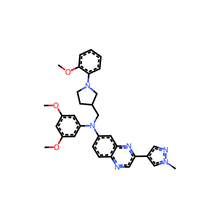 COc1cc(OC)cc(N(CC2CCN(c3ccccc3OC)C2)c2ccc3ncc(-c4cnn(C)c4)nc3c2)c1